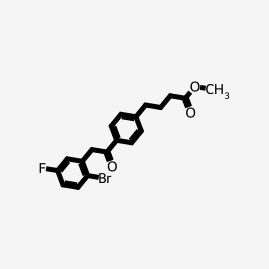 COC(=O)CCCc1ccc(C(=O)Cc2cc(F)ccc2Br)cc1